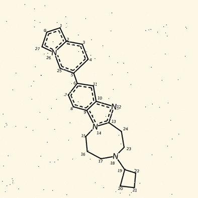 c1cc2ccc(-c3ccc4c(c3)nc3n4CCCN(C4CCC4)CC3)cn2c1